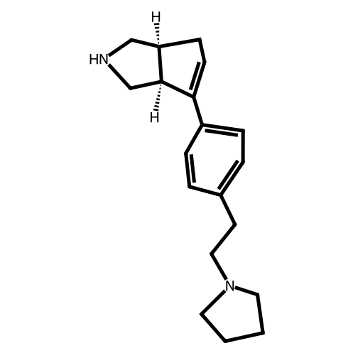 C1=C(c2ccc(CCN3CCCC3)cc2)[C@H]2CNC[C@H]2C1